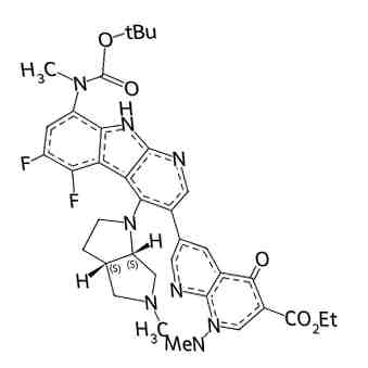 CCOC(=O)c1cn(NC)c2ncc(-c3cnc4[nH]c5c(N(C)C(=O)OC(C)(C)C)cc(F)c(F)c5c4c3N3CC[C@H]4CN(C)C[C@H]43)cc2c1=O